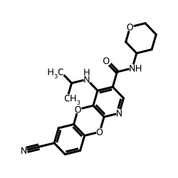 CC(C)Nc1c(C(=O)NC2CCCOC2)cnc2c1Oc1cc(C#N)ccc1O2